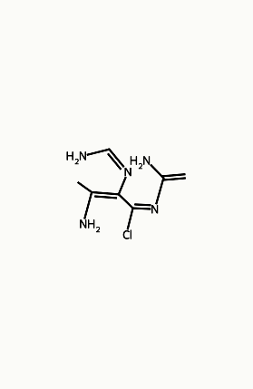 C=C(N)/N=C(/Cl)C(/N=C\N)=C(C)N